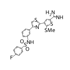 CSc1sc(C(=N)N)cc1-c1nc(-c2cccc(NS(=O)(=O)c3ccc(F)cc3)c2)cs1